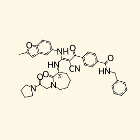 Cc1cc2cc(NC(N[C@H]3CCCCN(CC(=O)N4CCCC4)C3=O)=C(C#N)C(=O)c3ccc(C(=O)NCc4ccccc4)cc3)ccc2o1